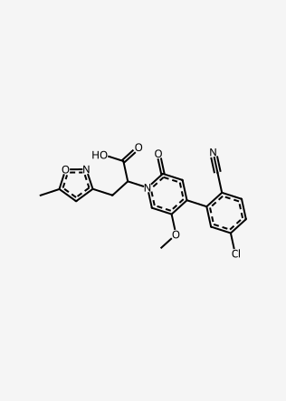 COc1cn(C(Cc2cc(C)on2)C(=O)O)c(=O)cc1-c1cc(Cl)ccc1C#N